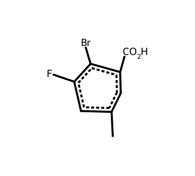 Cc1cc(F)c(Br)c(C(=O)O)c1